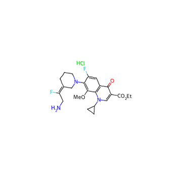 CCOC(=O)c1cn(C2CC2)c2c(OC)c(N3CCC/C(=C(\F)CN)C3)c(F)cc2c1=O.Cl